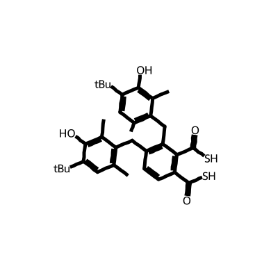 Cc1cc(C(C)(C)C)c(O)c(C)c1Cc1ccc(C(=O)S)c(C(=O)S)c1Cc1c(C)cc(C(C)(C)C)c(O)c1C